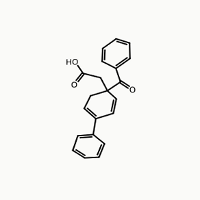 O=C(O)CC1(C(=O)c2ccccc2)C=CC(c2ccccc2)=CC1